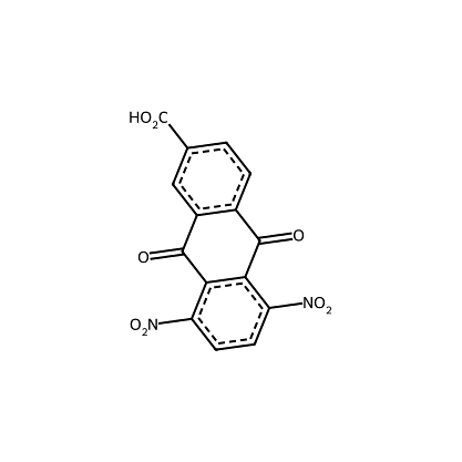 O=C(O)c1ccc2c(c1)C(=O)c1c([N+](=O)[O-])ccc([N+](=O)[O-])c1C2=O